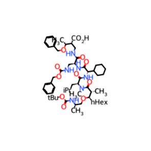 CCCCCC[C@@H](OC[C@@H](C)NC(=O)OC(C)(C)C)[C@@H](C)C(=O)N(C)[C@@H](CC(C)C)C(=O)N[C@H](C(=O)N[C@@H](CNC(=O)OCc1ccccc1)C(=O)NC[C@H](C(=O)O)[C@H](C)OCc1ccccc1)C1CCCCC1